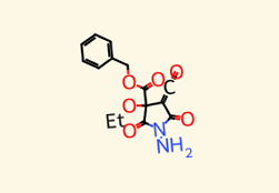 CCOC1(C(=O)OCc2ccccc2)C(=O)N(N)C(=O)C1=C=O